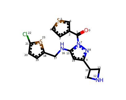 O=C(c1ccsc1)n1nc(C2CNC2)cc1NCc1ccc(Cl)s1